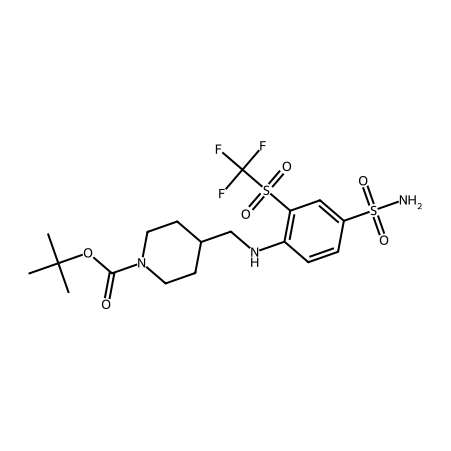 CC(C)(C)OC(=O)N1CCC(CNc2ccc(S(N)(=O)=O)cc2S(=O)(=O)C(F)(F)F)CC1